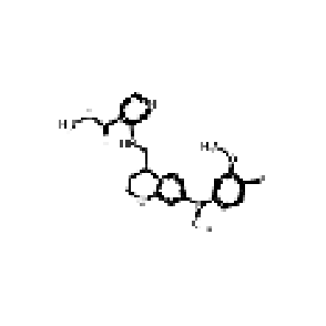 COC(=O)c1ccncc1NC[C@@H]1CCOc2cc(N(C)c3ccc(F)c(OC)c3)ccc21